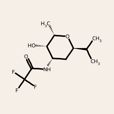 CC(C)[C@H]1C[C@H](NC(=O)C(F)(F)F)[C@H](O)[C@H](C)O1